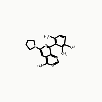 Cc1ccc(O)c(C)c1-c1nc(N2CCCC2)cc2c(N)ncnc12